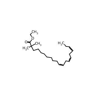 CC/C=C\C/C=C\C/C=C\CCCCCCCCC(C)(C)C(=O)OCC